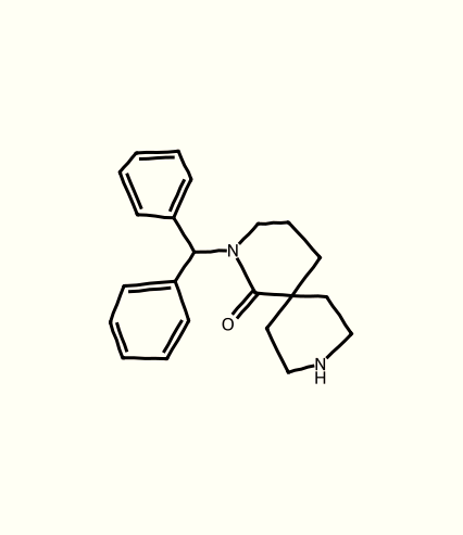 O=C1N(C(c2ccccc2)c2ccccc2)CCCC12CCNCC2